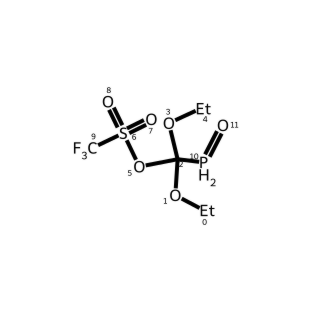 CCOC(OCC)(OS(=O)(=O)C(F)(F)F)[PH2]=O